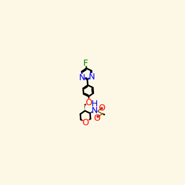 CS(=O)(=O)N[C@H]1COCC[C@@H]1COc1ccc(-c2ncc(F)cn2)cc1